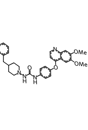 COc1cc2nccc(Oc3ccc(NC(=O)NN4CCC(Cc5ccccc5)CC4)cc3)c2cc1OC